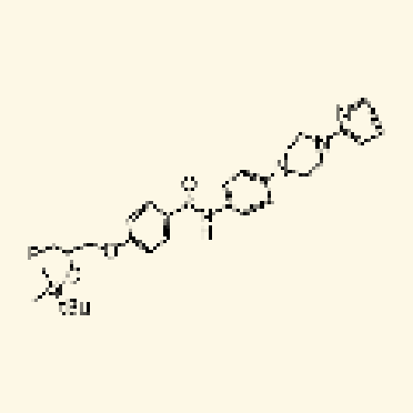 CC(C)(C)[Si](C)(C)OC(CF)COc1ccc(C(=O)Nc2ccc(N3CCN(c4ccccn4)CC3)cc2)cc1